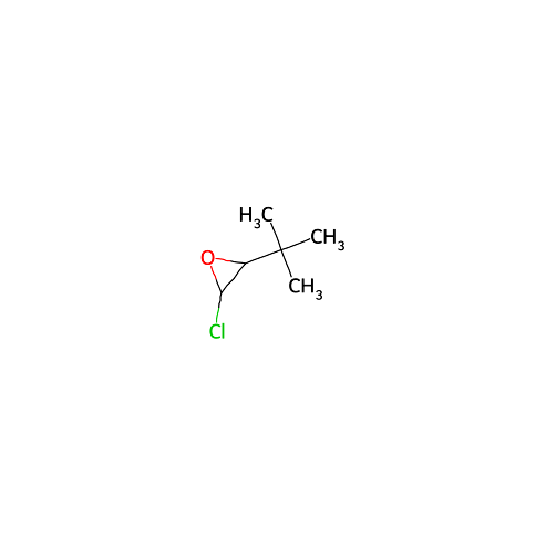 CC(C)(C)C1OC1Cl